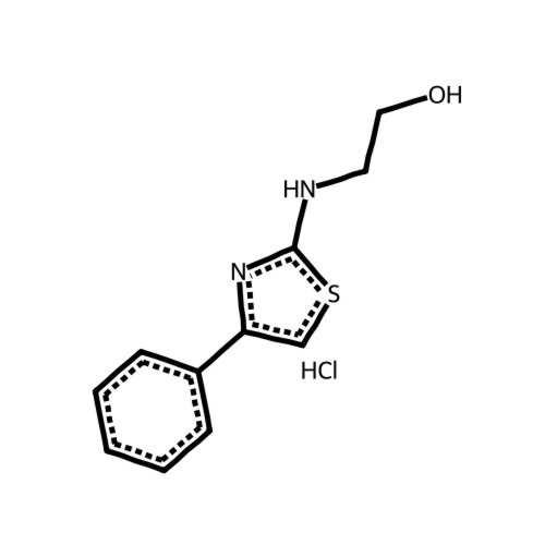 Cl.OCCNc1nc(-c2ccccc2)cs1